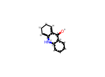 O=c1c2c([nH]c3ccccc13)=CCCC=2